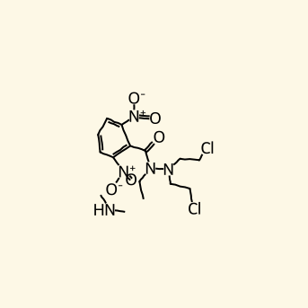 CCN(C(=O)c1c([N+](=O)[O-])cccc1[N+](=O)[O-])N(CCCl)CCCl.CNC